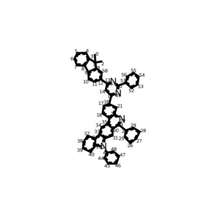 CC1(C)c2ccccc2-c2ccc(-c3cc(-c4ccc5c(c4)nc(-c4ccccc4)c4cc6c(cc45)c4ccccc4n6-c4ccccc4)nc(-c4ccccc4)n3)cc21